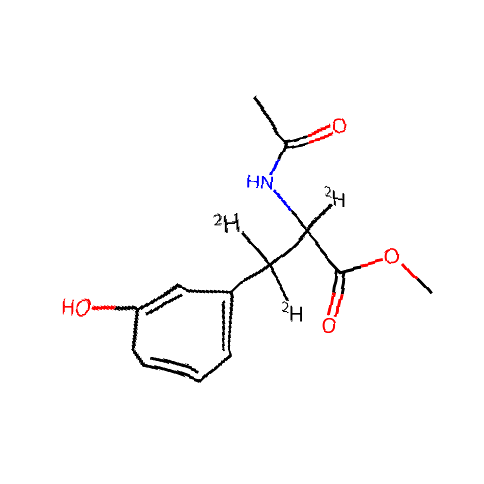 [2H]C(NC(C)=O)(C(=O)OC)C([2H])([2H])c1cccc(O)c1